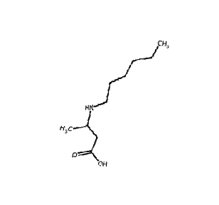 CCCCCCNC(C)CC(=O)O